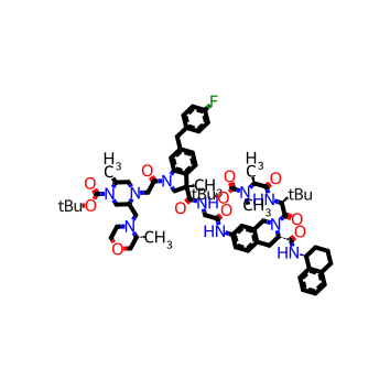 CC1CN(CC(=O)N2C[C@@](C)(C(=O)NCC(=O)Nc3ccc4c(c3)CN(C(=O)[C@@H](NC(=O)[C@H](C)N(C)C(=O)OC(C)(C)C)C(C)(C)C)[C@H](C(=O)N[C@@H]3CCCc5ccccc53)C4)c3ccc(Cc4ccc(F)cc4)cc32)C(CN2CCOC[C@H]2C)CN1C(=O)OC(C)(C)C